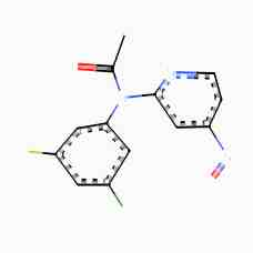 CC(=O)N(c1cc(F)cc(Cl)c1)c1cc(N=O)ccn1